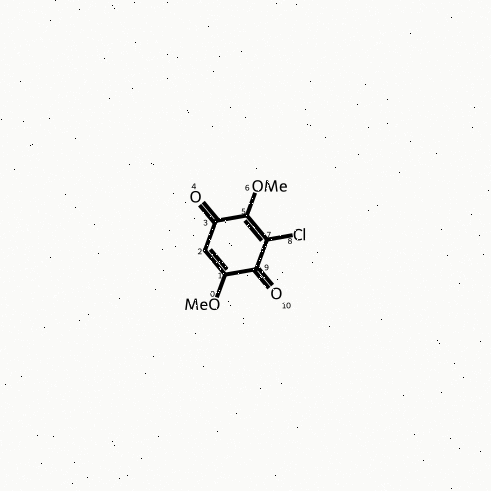 COC1=CC(=O)C(OC)=C(Cl)C1=O